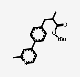 Cc1cc(-c2ccc(CC(C)C(=O)OC(C)(C)C)cc2)ccn1